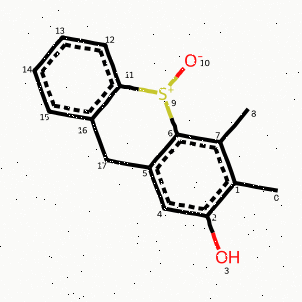 Cc1c(O)cc2c(c1C)[S+]([O-])c1ccccc1C2